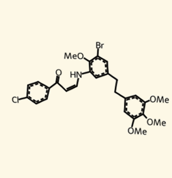 COc1cc(CCc2cc(Br)c(OC)c(N/C=C\C(=O)c3ccc(Cl)cc3)c2)cc(OC)c1OC